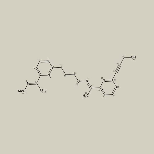 CO/N=C(\C)c1cccc(CCCO/N=C(\C)c2cccc(C#CCO)n2)n1